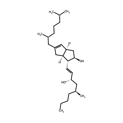 CCCC[C@H](C)C[C@H](O)/C=C/[C@@H]1[C@H]2CC(CN(C)CCCN(C)C)=C[C@H]2C[C@H]1O